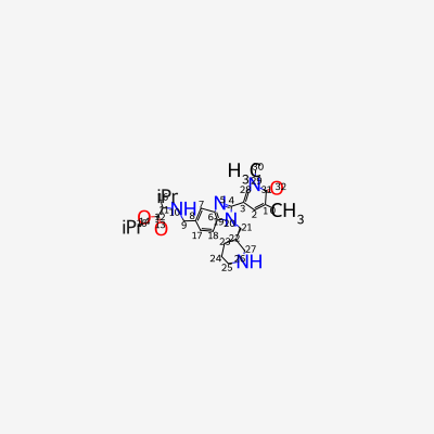 Cc1cc(-c2nc3cc(CNC(C(=O)OC(C)C)C(C)C)ccc3n2C[C@@H]2CCCNC2)cn(C)c1=O